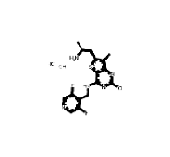 Cc1c(C[C@H](C)N)sc2c(NCc3c(F)cncc3F)nc(Cl)nc12.Cl.Cl